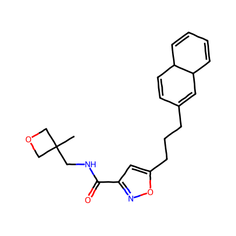 CC1(CNC(=O)c2cc(CCCC3=CC4C=CC=CC4C=C3)on2)COC1